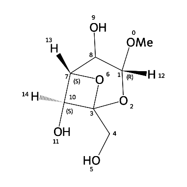 CO[C@@H]1OC2(CO)O[C@@H](C1O)[C@@H]2O